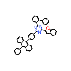 c1ccc(-c2ccccc2-c2nc(-c3ccc(-c4c5ccccc5c(-c5ccccc5)c5ccccc45)cc3)nc(-c3cc4ccccc4o3)n2)cc1